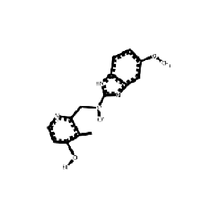 CCOc1ccnc(C[S+]([O-])c2nc3cc(OC(F)(F)F)ccc3[nH]2)c1C